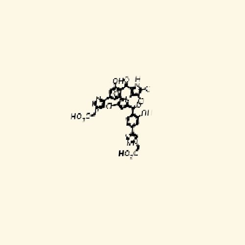 O=C(O)Cn1cc(-c2ccc(C(=O)c3[nH]c(Cl)c(Cl)c3-n3c(C(=O)c4ccc(-c5cn(CC(=O)O)nn5)cc4O)cc(Cl)c3Cl)c(O)c2)nn1